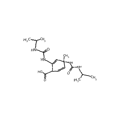 CC(C)NC(=O)NC1=CC(C)(NC(=O)NC(C)C)C=CC1C(=O)O